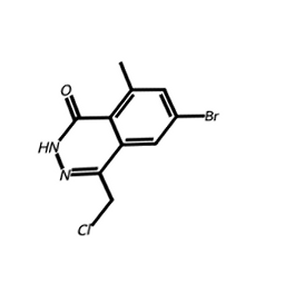 Cc1cc(Br)cc2c(CCl)n[nH]c(=O)c12